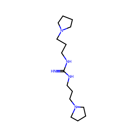 N=C(NCCCN1CCCC1)NCCCN1CCCC1